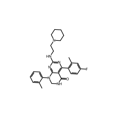 Cc1cc(F)ccc1-c1nc(NCCN2CCCCC2)nc2c1C(=O)NCN2c1ccccc1C